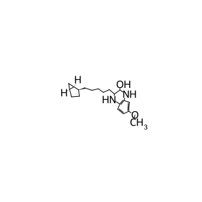 COc1ccc2c(c1)NC(O)C(CCCCC[C@H]1CC[C@H]3C[C@@H]13)N2